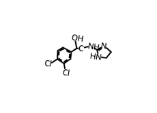 OC(CNC1=NCCN1)c1ccc(Cl)c(Cl)c1